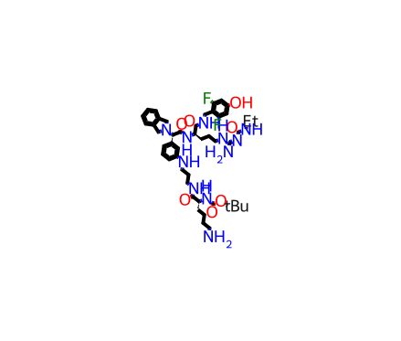 CCNC(=O)/N=C(/N)NCCC[C@@H](NC(=O)[C@H](c1cccc(NCCCNC(=O)[C@@H](CCCCN)NC(=O)OC(C)(C)C)c1)N1Cc2ccccc2C1)C(=O)NCc1c(F)cc(O)cc1F